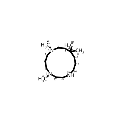 CN1CCCN(C)CCC(C)(C)CCCNCC1